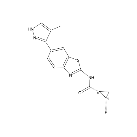 Cc1c[nH]nc1-c1ccc2nc(NC(=O)[C@@H]3C[C@@H]3F)sc2c1